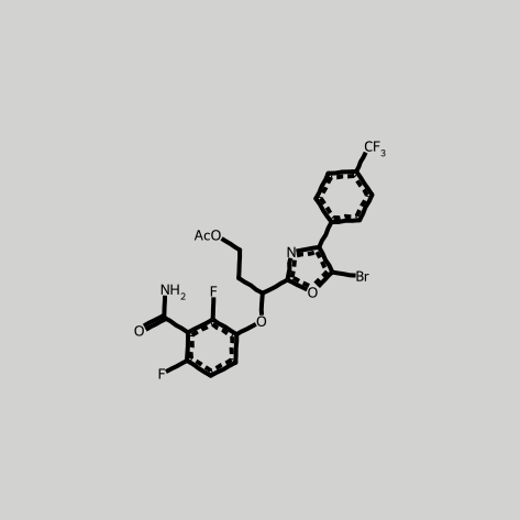 CC(=O)OCCC(Oc1ccc(F)c(C(N)=O)c1F)c1nc(-c2ccc(C(F)(F)F)cc2)c(Br)o1